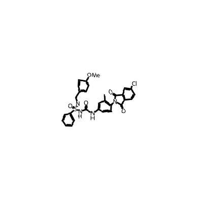 COc1ccc(CN=S(=O)(NC(=O)Nc2ccc(N3C(=O)c4ccc(Cl)cc4C3=O)c(C)c2)c2ccccc2)cc1